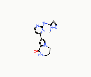 Cn1nccc1Nc1nccc(-c2cc3n(c2)CCCNC3=O)n1